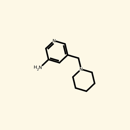 Nc1cncc(CN2CCCCC2)c1